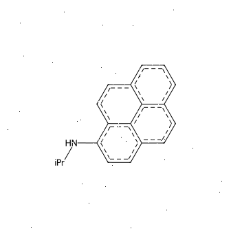 CC(C)Nc1ccc2ccc3cccc4ccc1c2c34